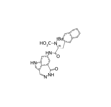 CC(C)(C)N(C(=O)O)[C@H](Cc1ccc2ccccc2c1)C(=O)Nc1cc2c3c(c[nH]c3c1)C=NNC2=O